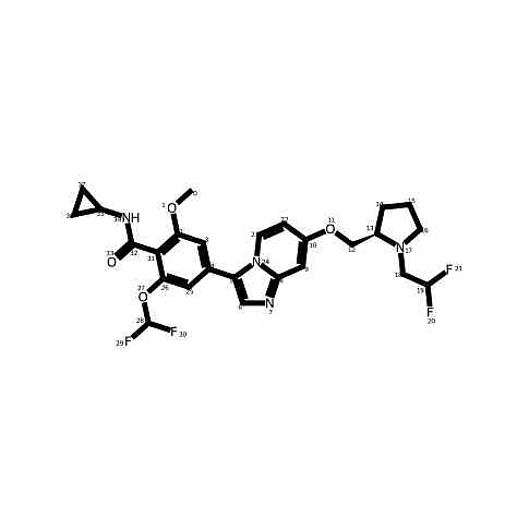 COc1cc(-c2cnc3cc(OC[C@H]4CCCN4CC(F)F)ccn23)cc(OC(F)F)c1C(=O)NC1CC1